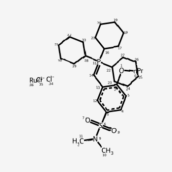 CCCOc1ccc(S(=O)(=O)N(C)C)cc1C=P(C1CCCCC1)(C1CCCCC1)C1CCCCC1.[Cl-].[Cl-].[Ru+2]